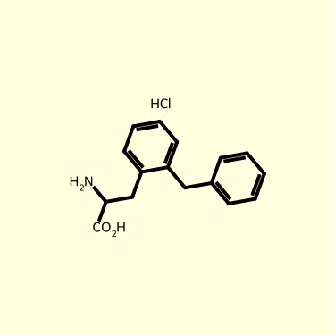 Cl.NC(Cc1ccccc1Cc1ccccc1)C(=O)O